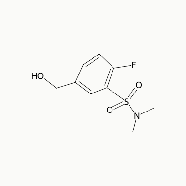 CN(C)S(=O)(=O)c1cc(CO)ccc1F